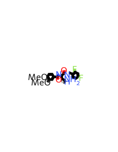 COc1ccc(-c2nc(C(=O)NCc3ccc(F)cc3F)c([C@H](C)N)o2)cc1OC